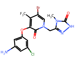 Cn1c(Cn2cc(Br)c(C(F)(F)F)c(Oc3cc(N)cc(Cl)c3)c2=O)n[nH]c1=O